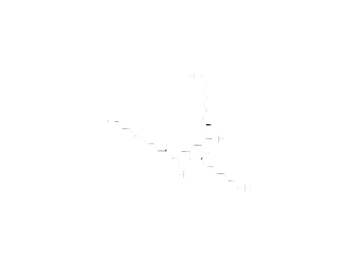 CCCCCCCCCC(=O)OC(C)CC(CCC(C)OC(=O)CCCCCCC)OC(=O)CCCCCCC